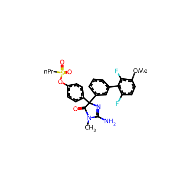 CCCS(=O)(=O)Oc1ccc(C2(c3cccc(-c4c(F)ccc(OC)c4F)c3)N=C(N)N(C)C2=O)cc1